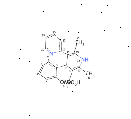 COc1ccccc1C1C(C(=O)O)=C(C)NC(C)=C1c1ccccn1